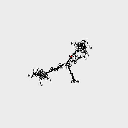 CC(=O)NC1C(OC(C)=O)[C@H](OC(C)=O)C(COC(C)=O)O[C@H]1ONCCCNC(=O)CCOCC(COCCC(=O)NCCCN)(COCCC(=O)NCCCNC(=O)CCCCO[C@@H]1OC[C@@](CCOC(C)=O)(OC(C)=O)C(OC(C)=O)C1NC(C)=O)NC(=O)CCCCCCCCCCC(=O)O